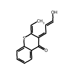 C/C=c1/sc2ccccc2c(=O)/c1=C/C=CO